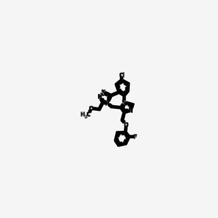 COCc1nnc2n1Cc1c(COc3ccccc3F)ncn1-c1ccc(Cl)cc1-2